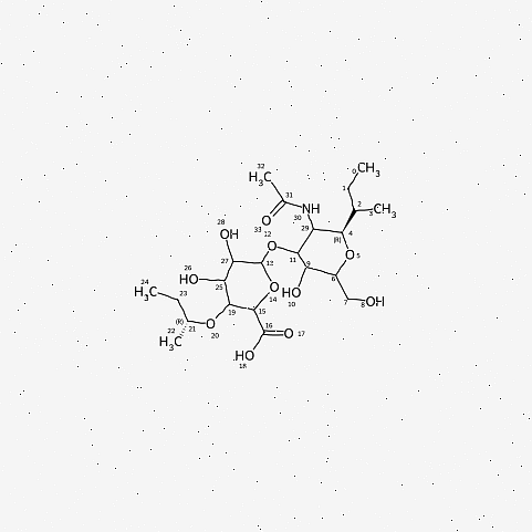 CCC(C)[C@H]1OC(CO)C(O)C(OC2OC(C(=O)O)C(O[C@H](C)CC)C(O)C2O)C1NC(C)=O